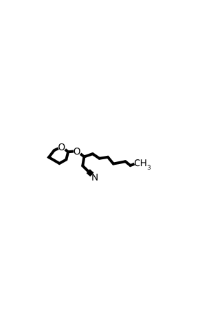 CCCCCCCC(CC#N)OC1CCCCO1